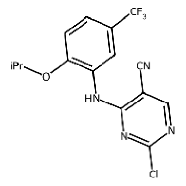 CC(C)Oc1ccc(C(F)(F)F)cc1Nc1nc(Cl)ncc1C#N